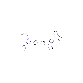 Cc1cccc(-c2cc(-c3ccc(-c4cc(C)c(-n5c6ccccc6c6cc(-n7c8ccccc8c8ccccc87)ccc65)c(C)c4)cc3)nc(-c3cccc(C)c3)n2)c1